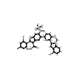 CNC(=O)c1c(-c2ccc(C)cc2F)oc2cc(N(C)S(C)(=O)=O)c(-c3ccc4c(n3)-c3cc5c(F)cccc5n3CO4)cc12